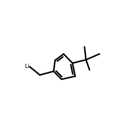 [Li][CH2]c1ccc(C(C)(C)C)cc1